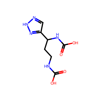 O=C(O)NCCC(NC(=O)O)c1cn[nH]n1